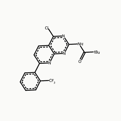 CC(C)(C)C(=O)Nc1nc(Cl)c2ccc(-c3ccccc3C(F)(F)F)nc2n1